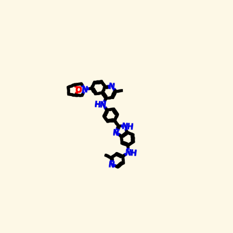 Cc1cc(Nc2ccc3[nH]c(-c4ccc(Nc5cc(C)nc6ccc(N7CC8CCC(C7)O8)cc56)cc4)nc3c2)ccn1